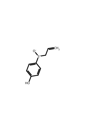 C=CC[S+]([O-])c1ccc(O)cc1